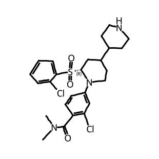 CN(C)C(=O)c1ccc(N2CCC(C3CCNCC3)C[C@H]2S(=O)(=O)c2ccccc2Cl)cc1Cl